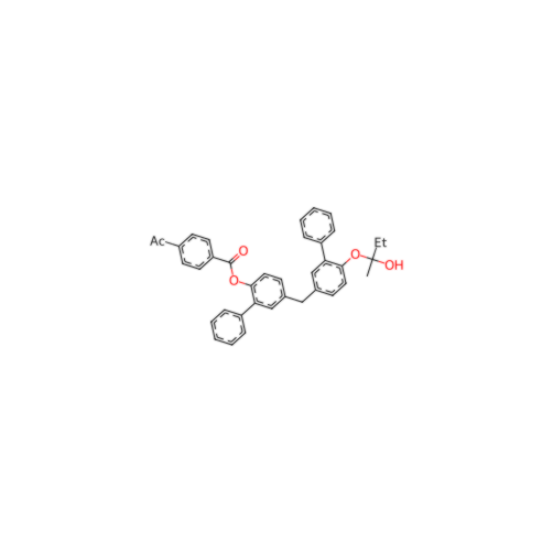 CCC(C)(O)Oc1ccc(Cc2ccc(OC(=O)c3ccc(C(C)=O)cc3)c(-c3ccccc3)c2)cc1-c1ccccc1